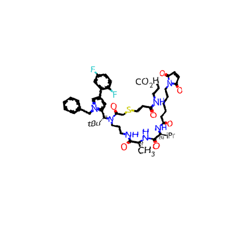 CC(C)[C@H](NC(=O)CCCCCN1C(=O)C=CC1=O)C(=O)N[C@@H](C)C(=O)NCCCN(C(=O)CSCCC(=O)NCCC(=O)O)[C@@H](c1cc(-c2cc(F)ccc2F)cn1Cc1ccccc1)C(C)(C)C